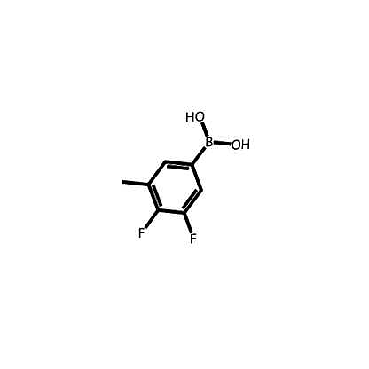 Cc1cc(B(O)O)cc(F)c1F